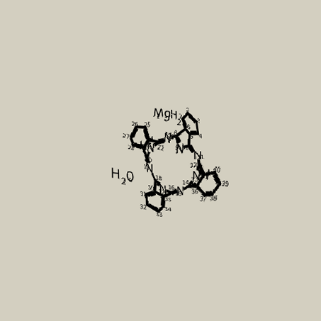 O.[MgH2].c1ccc2c(c1)-c1nc-2nc2[nH]c(nc3nc(nc4[nH]c(n1)c1ccccc41)-c1ccccc1-3)c1ccccc21